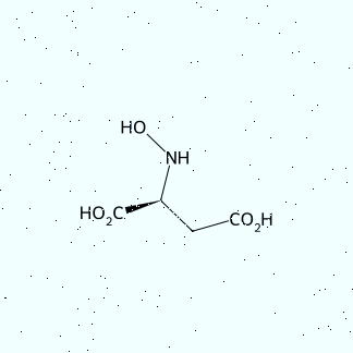 O=C(O)C[C@H](NO)C(=O)O